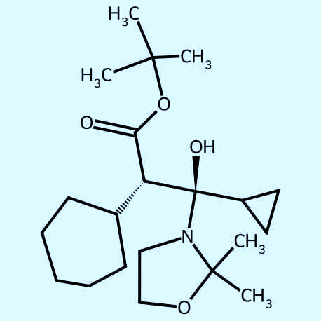 CC(C)(C)OC(=O)[C@@H](C1CCCCC1)[C@](O)(C1CC1)N1CCOC1(C)C